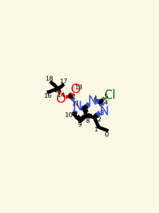 CCc1nc(Cl)nc2c1ccn2C(=O)OC(C)(C)C